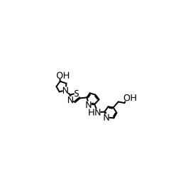 OCCc1ccnc(Nc2cccc(-c3cnc(N4CCC(O)C4)s3)n2)c1